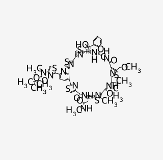 CNC(=O)C[C@@H]1NC(=O)c2csc(n2)-c2ccc(-c3nc(N(C)C(=O)OC(C)(C)C)cs3)nc2-c2csc(n2)-c2csc(n2)[C@H]([C@@H](O)c2ccccc2)NC(=O)CNC(=O)c2nc(sc2COC)C(C(C)C)NC(=O)c2nc1sc2C